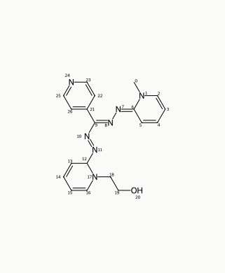 Cn1cccc\c1=N/N=C(/N=N/C1C=CC=CN1CCO)c1ccncc1